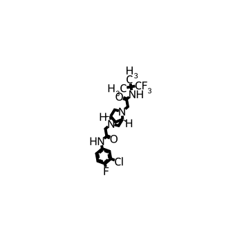 CC(C)(NC(=O)CN1C[C@H]2C[C@@H]1CN2CC(=O)Nc1ccc(F)c(Cl)c1)C(F)(F)F